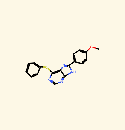 COc1ccc(-c2nc3c(Sc4ccccc4)ncnc3[nH]2)cc1